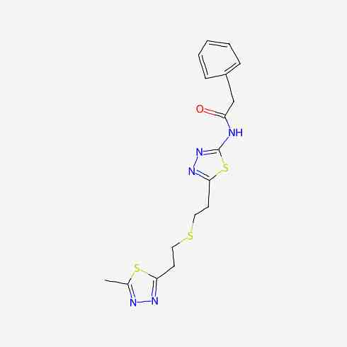 Cc1nnc(CCSCCc2nnc(NC(=O)Cc3ccccc3)s2)s1